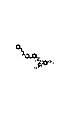 Cc1ccc(-n2nc(C(C)(C)C)cc2NC(=O)Nc2cccc(CC3CCN(C(=O)CCCc4ccccc4)CC3)c2)cc1